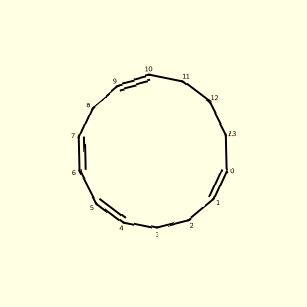 [C]1=CCCC=CC=CCC=CCCC1